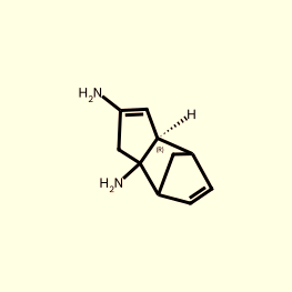 NC1=C[C@H]2C3C=CC(C3)C2(N)C1